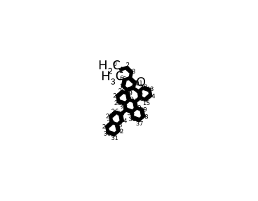 C=C/C=C\c1c(C)ccc2c1oc1cccc(-c3c4ccccc4c(-c4ccc5ccccc5c4)c4ccccc34)c12